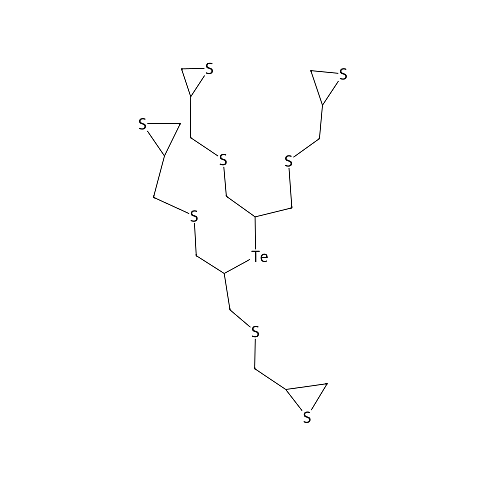 C(SCC(CSCC1CS1)[Te]C(CSCC1CS1)CSCC1CS1)C1CS1